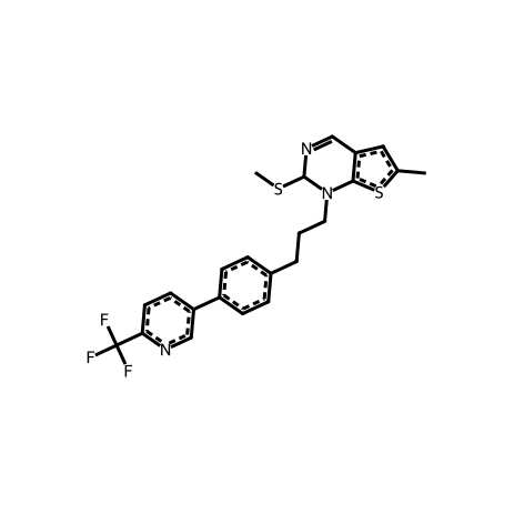 CSC1N=Cc2cc(C)sc2N1CCCc1ccc(-c2ccc(C(F)(F)F)nc2)cc1